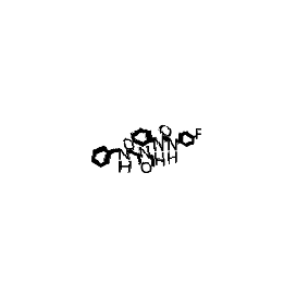 O=C(Nc1ccc(F)cc1)Nc1ccccc1N1CCOCC1C(=O)NCc1ccccc1